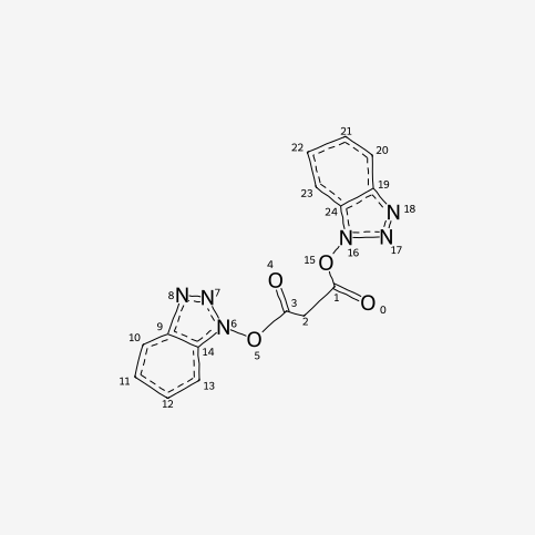 O=C(CC(=O)On1nnc2ccccc21)On1nnc2ccccc21